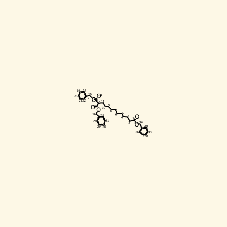 O=C(CCCCCCCCCCC(C(=O)OCc1ccccc1)C(=O)OCc1ccccc1)OCc1ccccc1